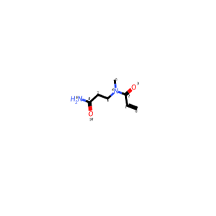 C=CC(=O)N(C)CCC(N)=O